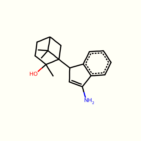 CC1(O)CCC2CC1(C1C=C(N)c3ccccc31)C2(C)C